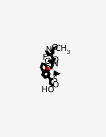 COc1cc(-c2onc(COc3cccc(C(CC(=O)O)SC4CC4)c3)c2OC2CCCCC2)c(F)cn1